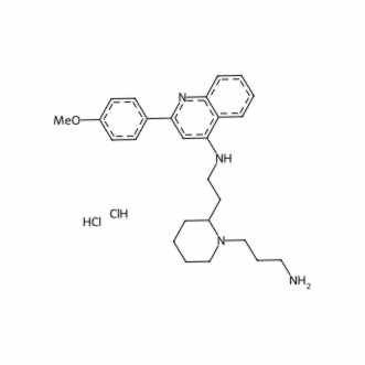 COc1ccc(-c2cc(NCCC3CCCCN3CCCN)c3ccccc3n2)cc1.Cl.Cl